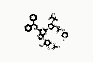 CCC(=O)N[C@H]1C[C@@H](n2cnc3c(NCC(c4ccccc4)c4ccccc4)nc(N4CC[C@@H](NC(=O)N[C@@H]5CCNC5)C4)nc32)[C@H](O)[C@@H]1O.O=C(O)C(F)(F)F